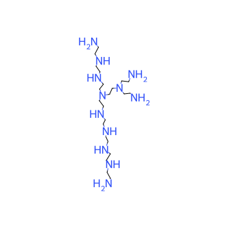 NCCNCCNCCNCCNCCN(CCNCCNCCN)CCN(CCN)CCN